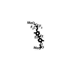 CCC(CC)(c1ccc(C=CC(OCOC)(C(F)(F)F)C(F)(F)F)c(C)c1)c1ccc(OCC(=O)OC)c(C)c1